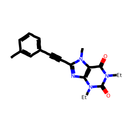 CCn1c(=O)c2c(nc(C#Cc3cccc(C)c3)n2C)n(CC)c1=O